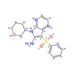 Nc1c(S(=O)(=O)c2ccccc2)c2nccnc2n1C1CCCOC1